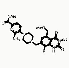 CCn1c(=O)[nH]c2c(F)c(CN3CCN(c4ccc(C(=O)NC)nc4C)CC3)cc(COC)c2c1=O